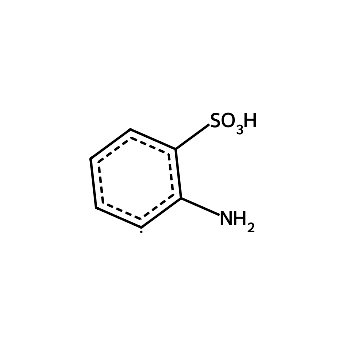 Nc1[c]cccc1S(=O)(=O)O